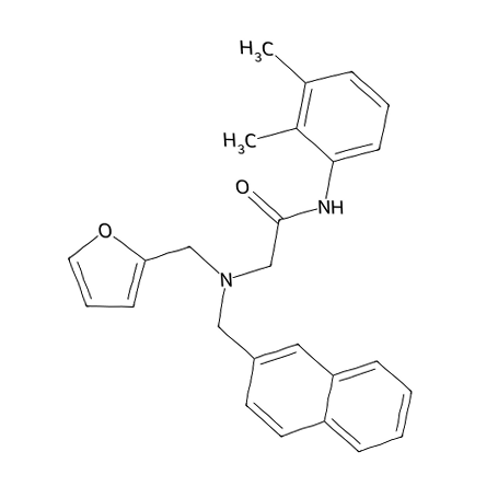 Cc1cccc(NC(=O)CN(Cc2ccc3ccccc3c2)Cc2ccco2)c1C